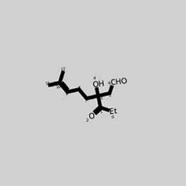 CCC(=O)C(O)(CC=O)CCC=C(C)C